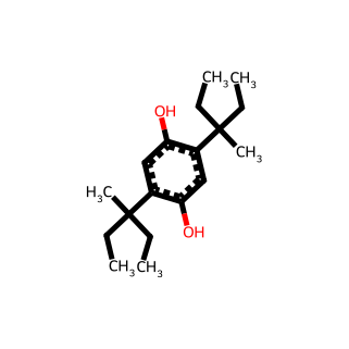 CCC(C)(CC)c1cc(O)c(C(C)(CC)CC)cc1O